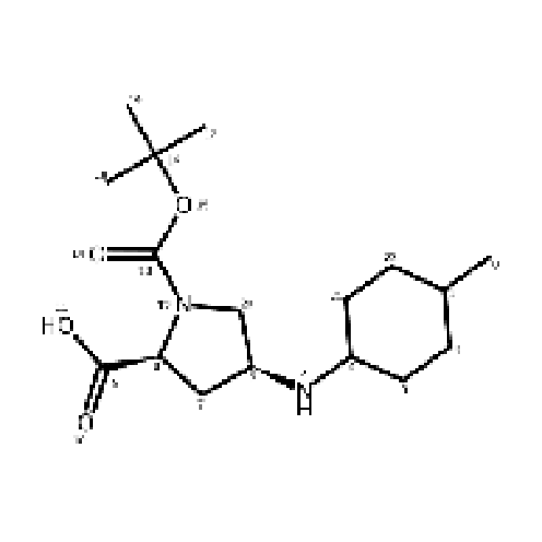 CC1CCC(N[C@H]2C[C@@H](C(=O)O)N(C(=O)OC(C)(C)C)C2)CC1